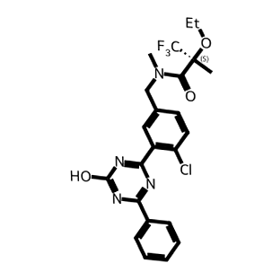 CCO[C@@](C)(C(=O)N(C)Cc1ccc(Cl)c(-c2nc(O)nc(-c3ccccc3)n2)c1)C(F)(F)F